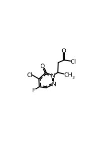 CC(CC(=O)Cl)n1ncc(F)c(Cl)c1=O